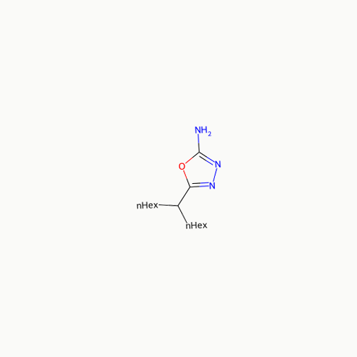 CCCCCCC(CCCCCC)c1nnc(N)o1